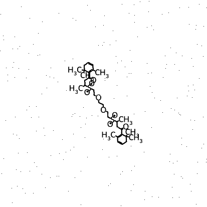 CC1=C(C(=O)CC(C)S(=O)(=O)CCOCCOCCS(=O)(=O)C(C)CC(=O)C2=C(C)C=CCC2(C)C)C(C)(C)CC=C1